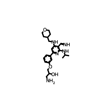 CC(C)Nc1nc(-c2cccc(OCC(O)CN)c2)cc(NCC2CCOCC2)c1C=N